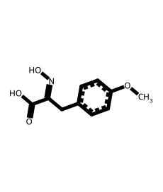 COc1ccc(CC(=NO)C(=O)O)cc1